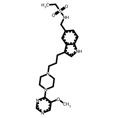 CCS(=O)(=O)NCc1ccc2[nH]cc(CCCN3CCN(c4ncncc4OC)CC3)c2c1